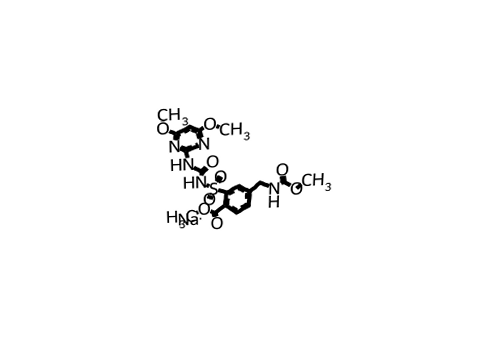 COC(=O)NCc1ccc(C(=O)OC)c(S(=O)(=O)NC(=O)Nc2nc(OC)cc(OC)n2)c1.[Na]